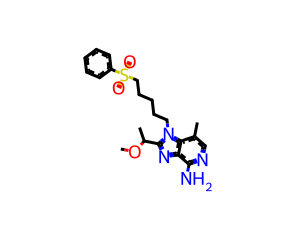 COC(C)c1nc2c(N)ncc(C)c2n1CCCCCS(=O)(=O)c1ccccc1